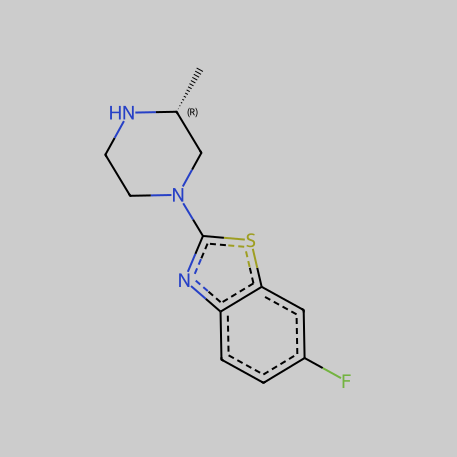 C[C@@H]1CN(c2nc3ccc(F)cc3s2)CCN1